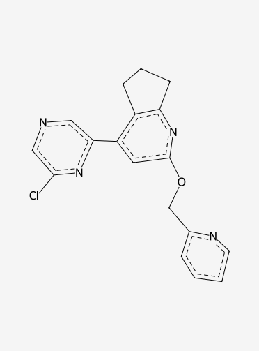 Clc1cncc(-c2cc(OCc3ccccn3)nc3c2CCC3)n1